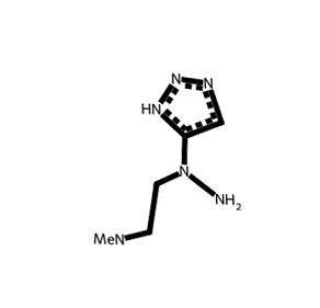 CNCCN(N)c1cnn[nH]1